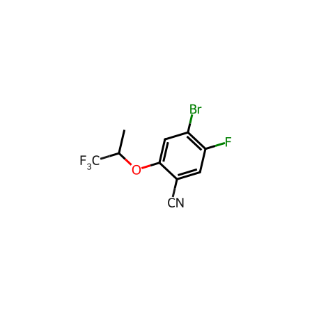 CC(Oc1cc(Br)c(F)cc1C#N)C(F)(F)F